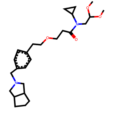 COC(CN(C(=O)CCOCCc1ccc(CN2CC3CCCC3C2)cc1)C1CC1)OC